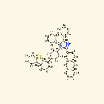 c1ccc2cc3cc(-c4nc5c6ccccc6c6ccccc6c5n4-c4ccc(-c5cccc6c5sc5ccccc56)cc4)ccc3cc2c1